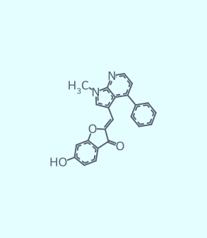 Cn1cc(C=C2Oc3cc(O)ccc3C2=O)c2c(-c3ccccc3)ccnc21